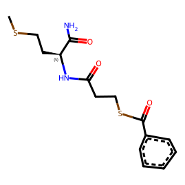 CSCC[C@H](NC(=O)CCSC(=O)c1ccccc1)C(N)=O